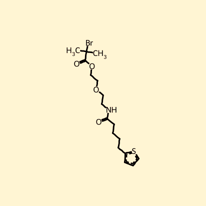 CC(C)(Br)C(=O)OCCOCCNC(=O)CCCCc1cccs1